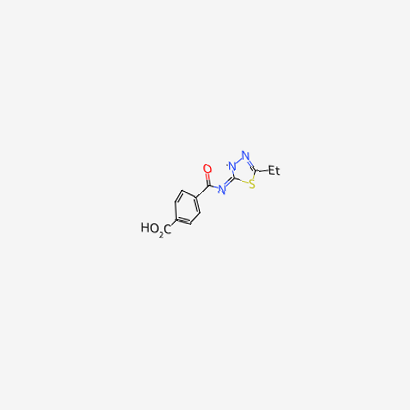 CCC1=N[N]C(=NC(=O)c2ccc(C(=O)O)cc2)S1